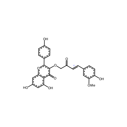 COc1cc(/C=C/C(=O)COc2c(-c3ccc(O)cc3)oc3cc(O)cc(O)c3c2=O)ccc1O